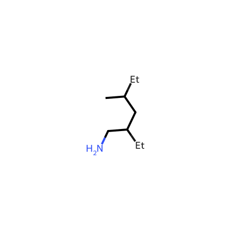 CCC(C)CC(CC)CN